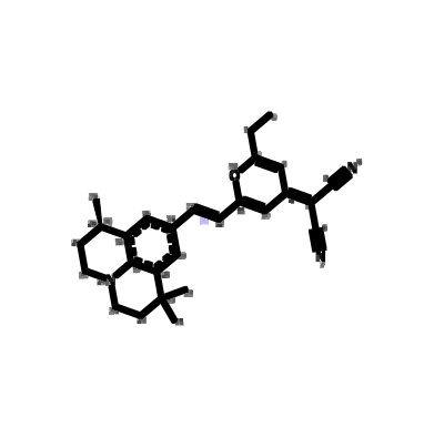 CCC1=CC(=C(C#N)C#N)C=C(/C=C/c2cc3c4c(c2)C(C)(C)CCN4CC[C@H]3C)O1